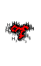 CN[C@@H](CCNC(=O)c1ccc2c(c1)C(=O)OC21c2ccc(N(C)C)cc2Oc2cc(N(C)C)ccc21)C(=O)N[C@@H](C(=O)C1[C@H](C(=O)N[C@@H](C(=O)O[C@H](C(=O)N2CC[C@@H](O)CN2)C(C)C)C(C)C)C[C@@]2(O)c3cc(-c4ccc5c(c4)[C@]4(O)C[C@H]6C(=O)N[C@H](C(C)C)C(=O)O[C@@H](C(C)C)C(=O)N7NC[C@H](O)C[C@@H]7C(=O)N[C@@H](CC(C)C)C(=O)N[C@H]7C(=O)N6[C@@]4(N5)N[C@@H]7O)ccc3N[C@@H]12)[C@H](C)O